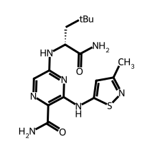 Cc1cc(Nc2nc(N[C@H](CC(C)(C)C)C(N)=O)cnc2C(N)=O)sn1